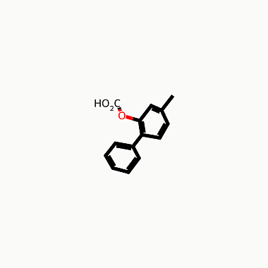 Cc1ccc(-c2ccccc2)c(OC(=O)O)c1